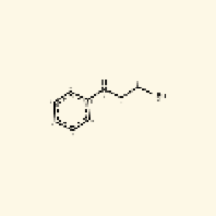 [CH2]C(C)(C)CCNc1ccccc1